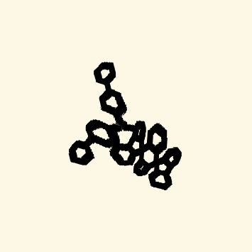 C1=CC2c3ccccc3C3(c4ccccc4C4(c5ccccc5-c5c(N(c6ccc(-c7ccccc7)cc6)c6ccc(-c7ccccc7)cc6)cccc54)c4ccccc43)C2C=C1